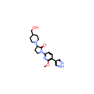 COc1nc(N2CCC(N3CCC(CO)CC3)C2=O)ccc1-c1cn[nH]c1